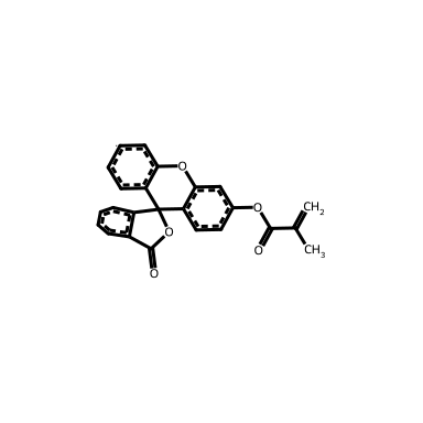 C=C(C)C(=O)Oc1ccc2c(c1)Oc1c[c]ccc1C21OC(=O)c2ccccc21